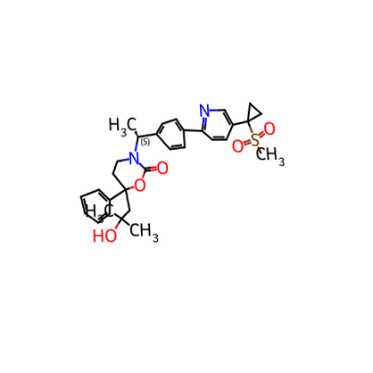 C[C@@H](c1ccc(-c2ccc(C3(S(C)(=O)=O)CC3)cn2)cc1)N1CCC(CC(C)(C)O)(c2ccccc2)OC1=O